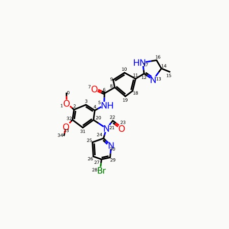 COc1cc(NC(=O)c2ccc(C3=NC(C)CN3)cc2)c(N(C=O)c2ccc(Br)cn2)cc1OC